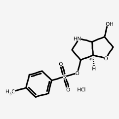 Cc1ccc(S(=O)(=O)OC2CNC3C(O)CO[C@@H]23)cc1.Cl